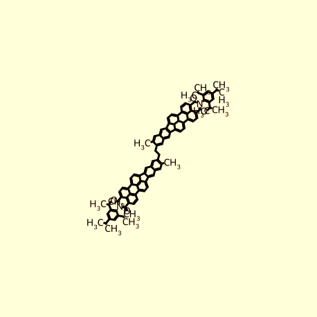 Cc1cc2cc3c(cc2cc1CCc1cc2cc4c(cc2cc1C)-c1ccc2c5ccc6c7c(ccc(c8ccc-4c1c28)c75)C(=O)N(c1c(C(C)C)cc(C(C)C)cc1C(C)C)C6=O)C1=CC=C2c4ccc5c6c(ccc(c46)C4=CC=C3C1C42)C(=O)N(c1c(C(C)C)cc(C(C)C)cc1C(C)C)C5=O